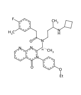 CCOc1ccc(-n2c([C@@H](C)N(CCC(C)NC3CCC3)C(=O)Cc3ccc(F)c(C)c3)nc3ncccc3c2=O)cc1